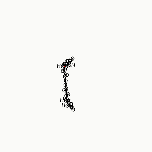 C[C@]12C=CC(=O)C=C1CCC1C2[C@@H](O)C[C@@]2(C)C1CC[C@]2(O)C(=O)COC(=O)CCC(=O)OCCOCCOCCOC(=O)CCC(=O)OCC(=O)[C@@]1(O)CCC2C3CCC4=CC(=O)C=C[C@]4(C)C3[C@@H](O)C[C@@]21C